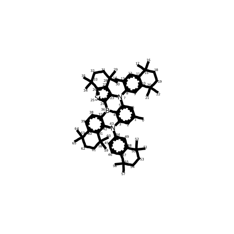 Cc1cc2c3c(c1)N(c1cc4c(cc1C)C(C)(C)CCC4(C)C)c1c(sc4c1C(C)(C)CCC4(C)C)B3c1ccc3c(c1N2c1ccc2c(c1)C(C)(C)CCC2(C)C)C(C)(C)CCC3(C)C